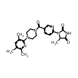 Cc1cc(C)c(N2CCN(C(=O)c3ccc(N4C(=O)NC(=O)C4C)nc3)CC2)nc1C